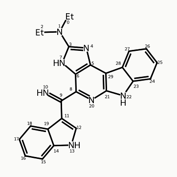 CCN(CC)c1nc2c([nH]1)c(C(=N)c1c[nH]c3ccccc13)nc1[nH]c3ccccc3c12